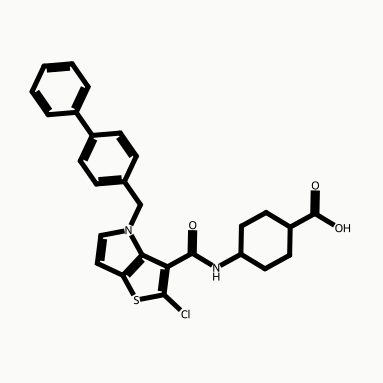 O=C(NC1CCC(C(=O)O)CC1)c1c(Cl)sc2ccn(Cc3ccc(-c4ccccc4)cc3)c12